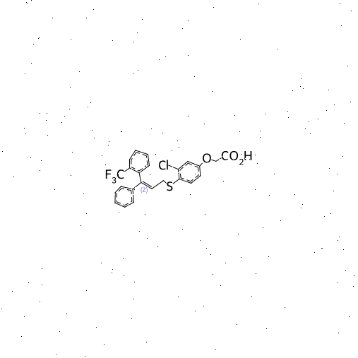 O=C(O)COc1ccc(SC/C=C(/c2ccccc2)c2ccccc2C(F)(F)F)c(Cl)c1